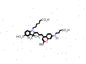 CCN(CCCS(=O)(=O)O)C1=CC2OC(C(C)(C)C)=CC(C=CC=C3N(CCCCCC(=O)O)c4ccc(S(=O)(=O)O)cc4C3(C)C)=C2C=C1